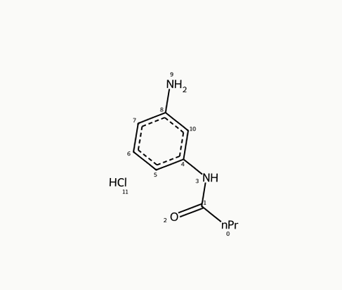 CCCC(=O)Nc1cccc(N)c1.Cl